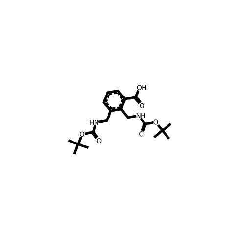 CC(C)(C)OC(=O)NCc1cccc(C(=O)O)c1CNC(=O)OC(C)(C)C